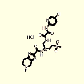 CN1CCc2nc(C(=O)N[C@H](CCS(C)(=O)=O)CNC(=O)C(=O)Nc3ccc(Cl)cn3)sc2C1.Cl